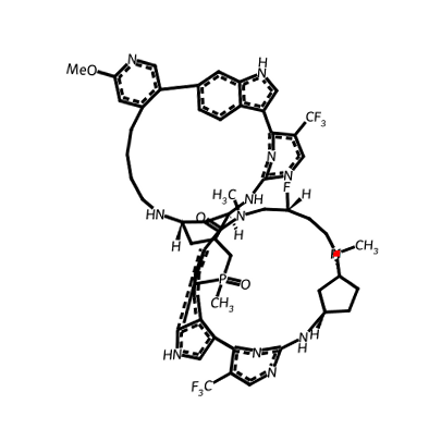 COc1cc2c(cn1)-c1ccc3c(c[nH]c3c1)-c1nc(ncc1C(F)(F)F)N[C@@H]1C[C@H](CC1CP(C)(=O)c1c3ccc4c(c[nH]c14)-c1nc(ncc1C(F)(F)F)N[C@H]1CC[C@@H](C1)N(C)CC[C@@H](F)CN(C)C3=O)NCCCC2